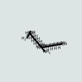 CC(O)NC(CCCCN)C(O)NCCC(O)NCCC(O)NCCC(O)NCCC(O)NC(O)NC(CCCCN)C(O)NCCC(O)NCCC(O)NCCC(O)NCCC(O)NCCC(O)O